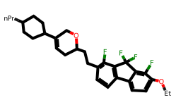 CCCC1CCC(C2=CCC(CCc3ccc4c(c3F)C(F)(F)c3c-4ccc(OCC)c3F)OC2)CC1